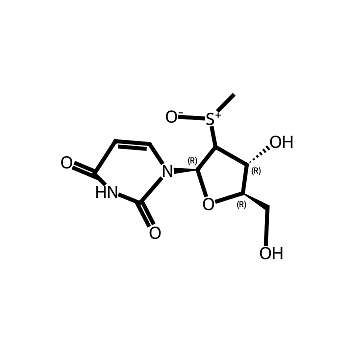 C[S+]([O-])C1[C@H](n2ccc(=O)[nH]c2=O)O[C@H](CO)[C@H]1O